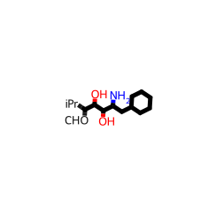 CC(C)C(C=O)C(O)C(O)C(N)CC1CCCCC1